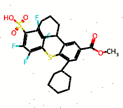 COC(=O)c1cc(C2CCCCC2)c(Sc2c(F)c(F)c(S(=O)(=O)O)c(F)c2F)c(C2CCCCC2)c1